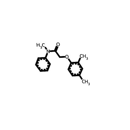 Cc1ccc(OCC(=O)N(C)c2ccccc2)c(C)c1